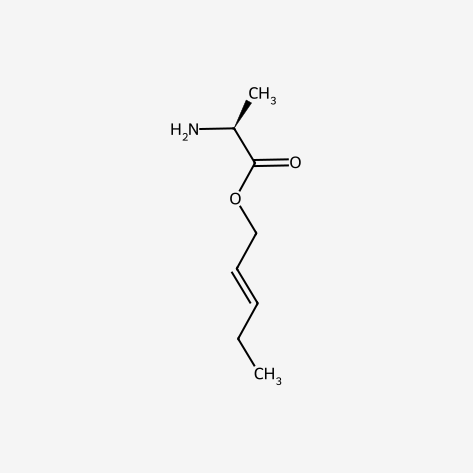 CCC=CCOC(=O)[C@H](C)N